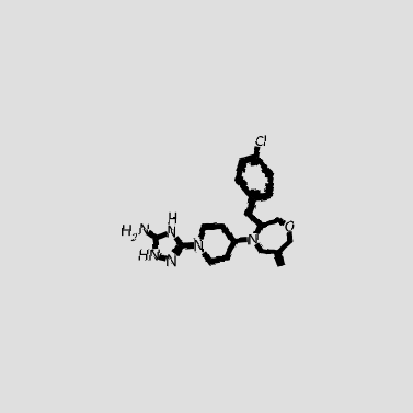 C=C1COCC(Cc2ccc(Cl)cc2)N(C2CCN(C3=NNC(N)N3)CC2)C1